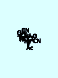 CC(=O)C#C[C@@]12C=C(C#N)C(=O)C=C1[C@@]1(C)C=C(C#N)C(=O)C(C)(C)[C@@H]1CC2